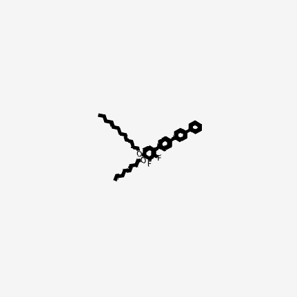 CCCCCCCCCCCCOC1(OCCCCCCCC)C=CC(c2ccc(-c3ccc(-c4ccccc4)cc3)cc2)=C(F)C1F